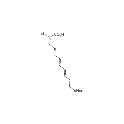 CCCCCCCCCCCC=CC=CC=CC=C(CC)C(=O)O